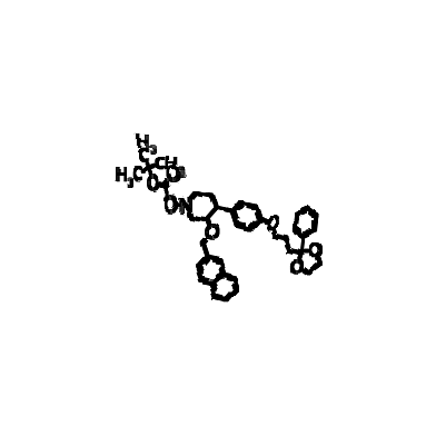 CC(C)(C)OC(=O)ON1CCC(c2ccc(OCCCC3(c4ccccc4)OCCO3)cc2)C(OCc2ccc3ccccc3c2)C1